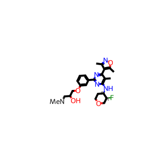 CNCC(O)COc1cccc(-c2nc(N[C@@H]3CCOC[C@@H]3F)c(C)c(-c3c(C)noc3C)n2)c1